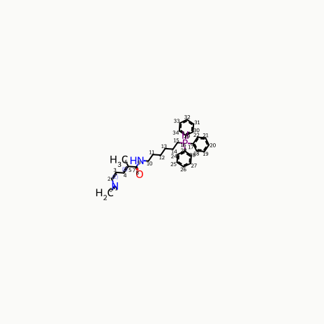 C=N/C=C\C=C(/C)C(=O)NCCCCCC[PH](c1ccccc1)(c1ccccc1)c1ccccc1